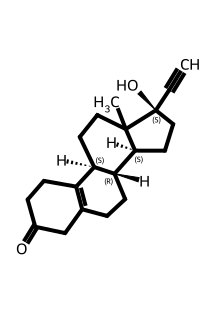 C#C[C@]1(O)CC[C@H]2[C@@H]3CCC4=C(CCC(=O)C4)[C@H]3CCC21C